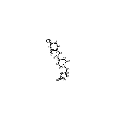 CN(Cc1ccc(Cl)cc1Cl)C1CCN(CC2=CN=S(C)S2)CC1